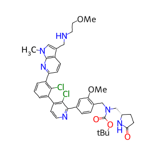 COCCNCc1cn(C)c2nc(-c3cccc(-c4ccnc(-c5ccc(CN(C[C@@H]6CCC(=O)N6)C(=O)OC(C)(C)C)c(OC)c5)c4Cl)c3Cl)ccc12